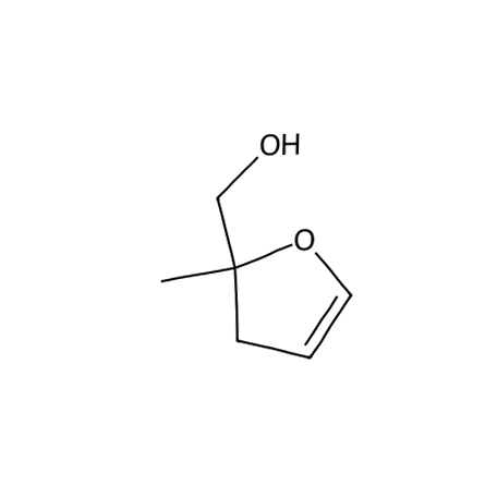 CC1(CO)CC=CO1